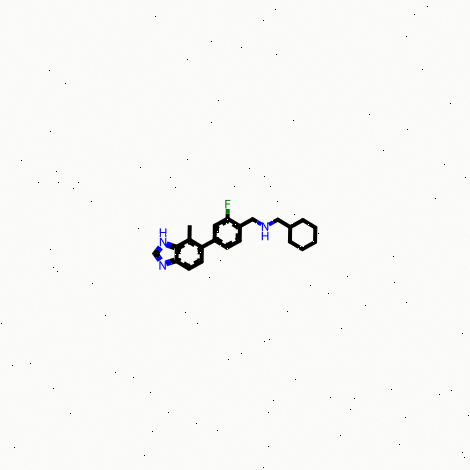 Cc1c(-c2ccc(CNCC3CCCCC3)c(F)c2)ccc2nc[nH]c12